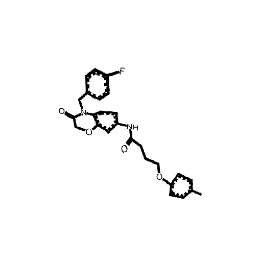 Cc1ccc(OCCCC(=O)Nc2ccc3c(c2)OCC(=O)N3Cc2ccc(F)cc2)cc1